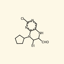 CCC1C(C=O)Nc2cnc(Cl)nc2N1C1CCCC1